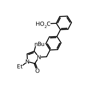 CCCCc1cn(CC)c(=O)n1Cc1ccc(-c2ccccc2C(=O)O)cc1